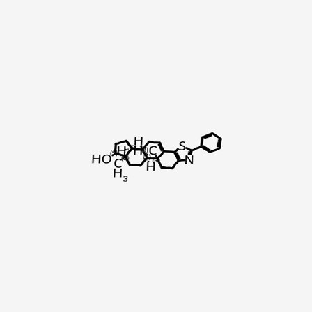 C[C@]12CC[C@H]3[C@@H](CC=C4c5sc(-c6ccccc6)nc5CC[C@@]43C)[C@@H]1CC[C@@H]2O